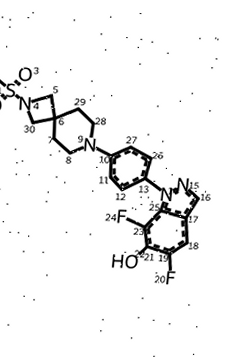 CS(=O)(=O)N1CC2(CCN(c3ccc(-n4ncc5cc(F)c(O)c(F)c54)cc3)CC2)C1